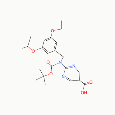 CCOc1cc(CN(C(=O)OC(C)(C)C)c2ncc(C(=O)O)cn2)cc(OC(C)C)c1